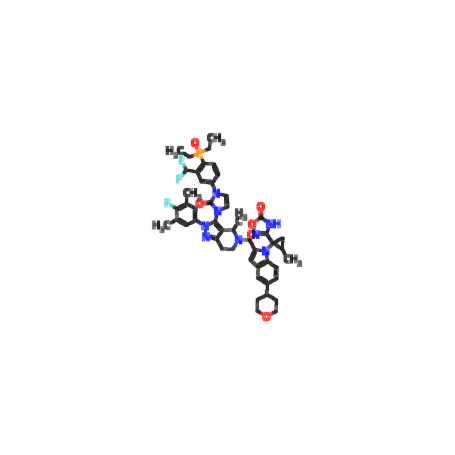 CCP(=O)(CC)c1ccc(-n2ccn(-c3c4c(nn3-c3cc(C)c(F)c(C)c3)CCN(C(=O)c3cc5cc(C6CCOCC6)ccc5n3C3(c5noc(=O)[nH]5)CC3C)C4C)c2=O)cc1C(F)F